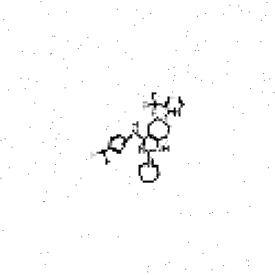 FC(F)(F)c1ccc(NC2=NC(N3CCCCCC3)NC3=C2CCN(c2ncccc2C(F)(F)F)CC3)cc1